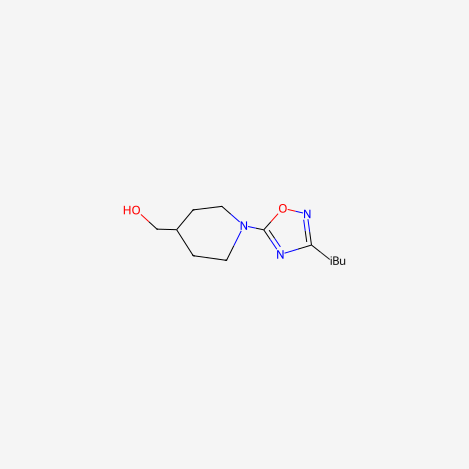 CCC(C)c1noc(N2CCC(CO)CC2)n1